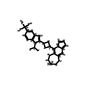 CC(C)n1c(C2CN(c3c4c(nc5ccnn35)CCNCC4)C2)nc2cc(C(F)(F)F)ccc21